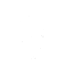 O=[N+]([O-])c1cc(Br)ccc1-c1ccccc1